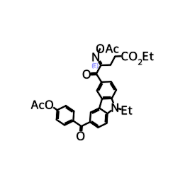 CCOC(=O)CC/C(=N\OC(C)=O)C(=O)c1ccc2c(c1)c1cc(C(=O)c3ccc(OC(C)=O)cc3)ccc1n2CC